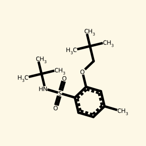 Cc1ccc(S(=O)(=O)NC(C)(C)C)c(OCC(C)(C)C)c1